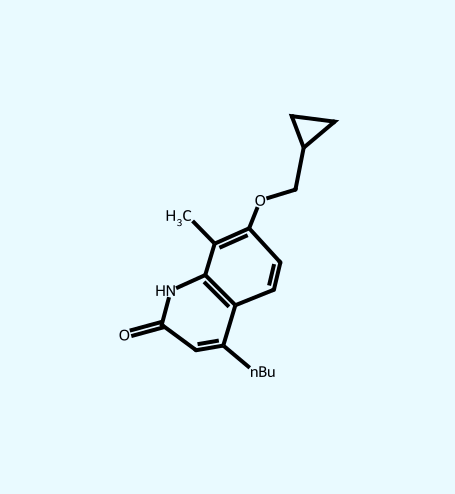 CCCCc1cc(=O)[nH]c2c(C)c(OCC3CC3)ccc12